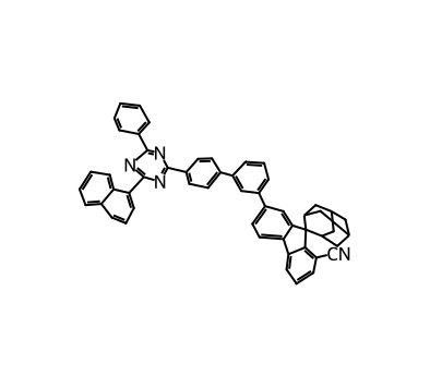 N#Cc1cccc2c1C1(c3cc(-c4cccc(-c5ccc(-c6nc(-c7ccccc7)nc(-c7cccc8ccccc78)n6)cc5)c4)ccc3-2)C2CC3CC(C2)CC1C3